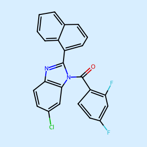 O=C(c1ccc(F)cc1F)n1c(-c2cccc3ccccc23)nc2ccc(Cl)cc21